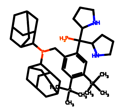 C[Si](C)(C)c1cc(CP(C2C3CC4CC(C3)CC2C4)C2C3CC4CC(C3)CC2C4)c(C(P)(C2CCCN2)C2CCCN2)cc1[Si](C)(C)C